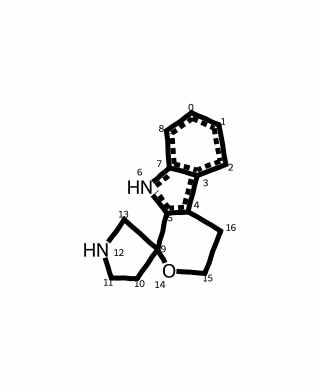 c1ccc2c3c([nH]c2c1)C1(CCNC1)OCC3